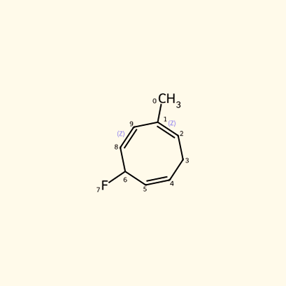 CC1=C/CC=CC(F)/C=C\1